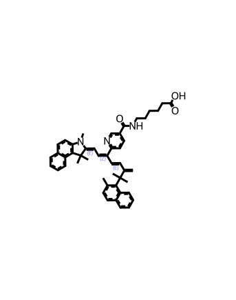 C=C(/C=C/C(=C/C=C1/N(C)c2ccc3ccccc3c2C1(C)C)c1ccc(C(=O)NCCCCCC(=O)O)cn1)C(C)(C)c1c(C)ccc2ccccc12